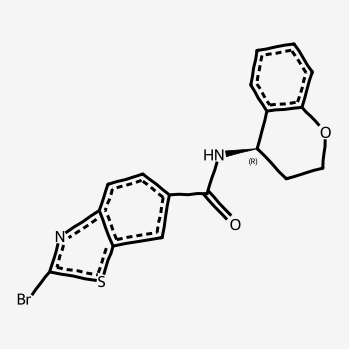 O=C(N[C@@H]1CCOc2ccccc21)c1ccc2nc(Br)sc2c1